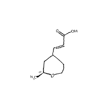 C[C@H]1CC(C=CC(=O)O)CCO1